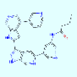 CCCC(=O)Nc1cncc(-c2cc3c(-c4cc5c(-c6cccnc6)cncc5[nH]4)n[nH]c3cn2)c1